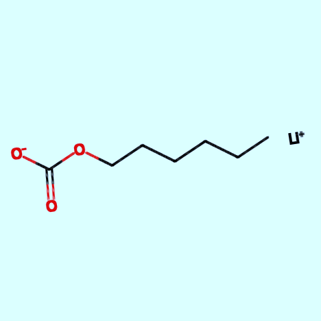 CCCCCCOC(=O)[O-].[Li+]